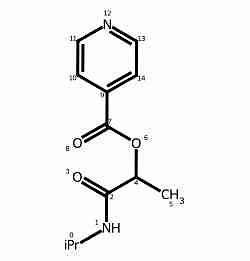 CC(C)NC(=O)C(C)OC(=O)c1ccncc1